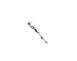 CN/C(C)=C\C(=O)Cc1ccc(NC(=O)CC(=O)NCCOCCCC(=O)NCCCCCC(C)=O)cc1